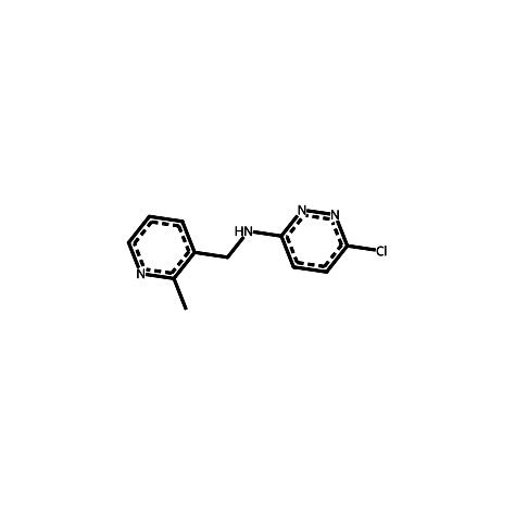 Cc1ncccc1CNc1ccc(Cl)nn1